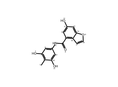 Cc1c(O)cc(NC(=O)c2cc(O)cc3occc23)cc1O